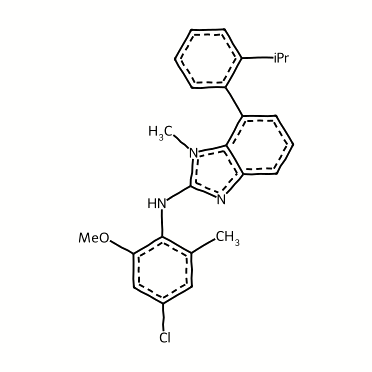 COc1cc(Cl)cc(C)c1Nc1nc2cccc(-c3ccccc3C(C)C)c2n1C